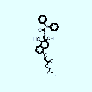 CCOC(=O)COc1cccc2c1CCC(O)(COC(=O)N(c1ccccc1)c1ccccc1)C2O